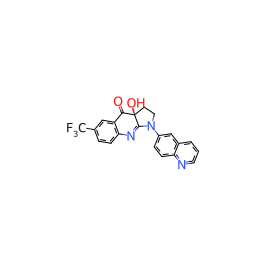 O=C1c2cc(C(F)(F)F)ccc2N=C2N(c3ccc4ncccc4c3)CC[C@@]12O